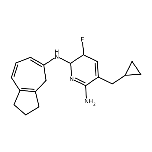 NC1=NC(NC2=CC=CC3=C(CCC3)C2)C(F)C=C1CC1CC1